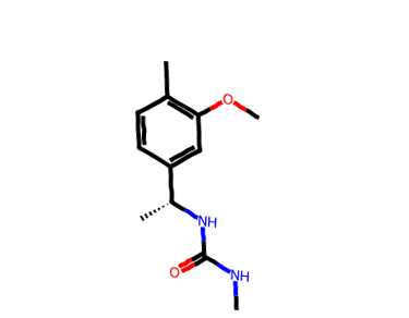 CNC(=O)N[C@H](C)c1ccc(C)c(OC)c1